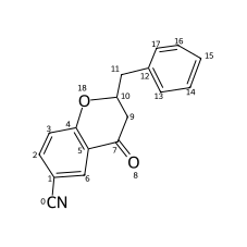 N#Cc1ccc2c(c1)C(=O)CC(Cc1ccccc1)O2